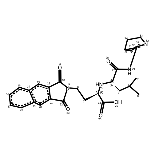 CC(C)C[C@H](N[C@H](CCN1C(=O)c2cc3ccccc3cc2C1=O)C(=O)O)C(=O)NC1CN2CCC1CC2